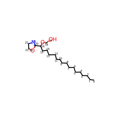 CCCCCCCCCCCCCCCCC(OCO)C1=NCCO1